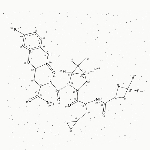 CC1(C)[C@@H]2[C@@H](C(=O)NC(CC3Oc4cc(F)ccc4NC3=O)C(N)=O)N(C(=O)C(CC3CC3)NC(=O)C3CC(F)(F)C3)C[C@@H]21